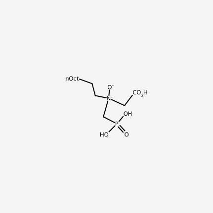 CCCCCCCCCC[N+]([O-])(CC(=O)O)CP(=O)(O)O